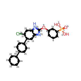 O=P(O)(O)c1cccc(Oc2nc3cc(-c4ccc(-c5ccccc5)cc4)c(Cl)cc3[nH]2)c1